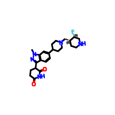 Cn1nc(C2CCC(=O)NC2=O)c2ccc(C3CCN(C[C@H]4CCNC[C@H]4F)CC3)cc21